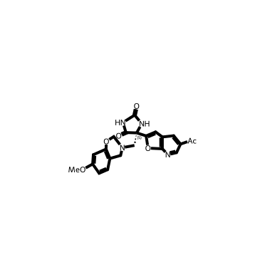 COc1ccc2c(c1)OCN(C[C@@]1(c3cc4cc(C(C)=O)cnc4o3)NC(=O)NC1=O)C2